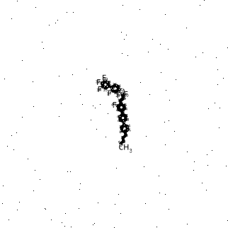 CCCCCc1ccc(-c2ccc(-c3ccc(/C=C/C(F)(F)Oc4ccc(-c5cc(F)c(F)c(F)c5)c(F)c4)c(F)c3)cc2)cc1